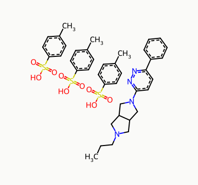 CCCN1CC2CN(c3ccc(-c4ccccc4)nn3)CC2C1.Cc1ccc(S(=O)(=O)O)cc1.Cc1ccc(S(=O)(=O)O)cc1.Cc1ccc(S(=O)(=O)O)cc1